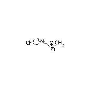 C=CS(=O)(=O)CCC[N]c1ccc(Cl)cc1